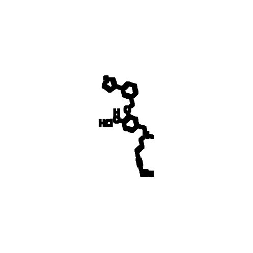 CN(CC=CC#CC(C)(C)C)Cc1ccc(O)c(OCc2cccc(-c3ccsc3)c2)c1.Cl